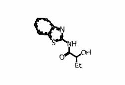 CC[C@H](O)C(=O)Nc1nc2ccccc2s1